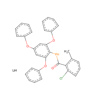 Cc1cccc(Cl)c1C(=O)Pc1c(Oc2ccccc2)cc(Oc2ccccc2)cc1Oc1ccccc1.[LiH]